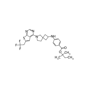 CCC(C)(C)OC(=O)c1ccc(NC2CC3(CCN(c4ncnc5sc(CC(F)(F)F)cc45)C3)C2)cc1